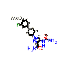 COc1ccc(-c2ccc(-n3cc(NC(N)=O)c(C(N)=O)n3)cc2)cc1F